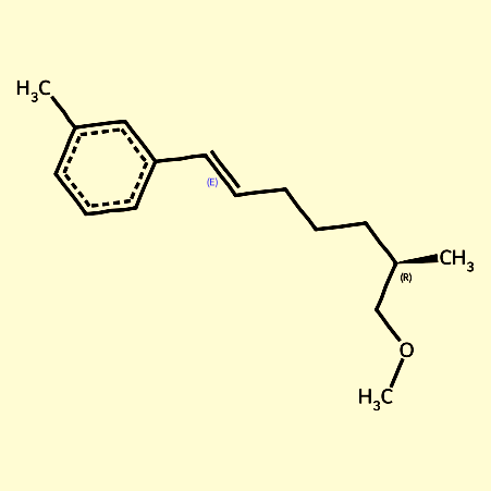 COC[C@H](C)CCC/C=C/c1cccc(C)c1